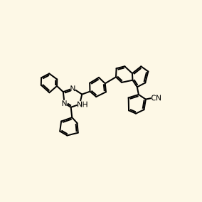 N#Cc1ccccc1-c1cccc2ccc(-c3ccc(C4N=C(c5ccccc5)N=C(c5ccccc5)N4)cc3)cc12